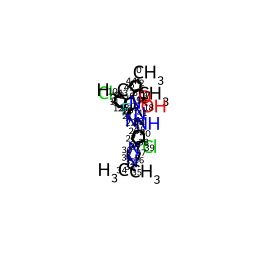 Cc1cc(C)c(C(c2cc(Cl)ccc2F)N(C(=O)O)c2ccnc(Nc3ccc(N4CCN(C(C)C)CC4)c(Cl)c3)n2)c(C)c1